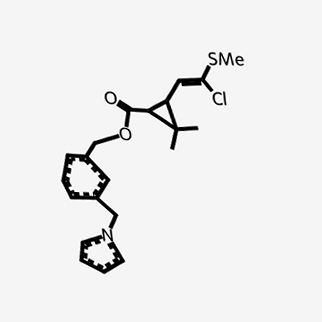 CSC(Cl)=CC1C(C(=O)OCc2cccc(Cn3cccc3)c2)C1(C)C